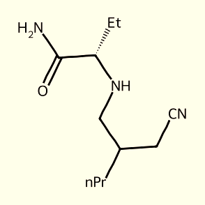 CCCC(CC#N)CN[C@@H](CC)C(N)=O